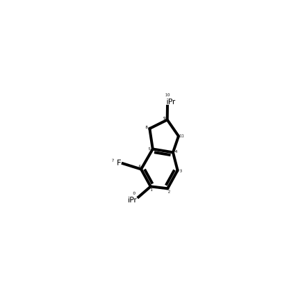 CC(C)c1ccc2c(c1F)CC(C(C)C)C2